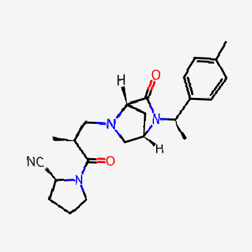 Cc1ccc([C@@H](C)N2C(=O)[C@@H]3C[C@H]2CN3C[C@H](C)C(=O)N2CCC[C@H]2C#N)cc1